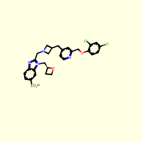 O=C(O)c1ccc2nc(CN3CC(Cc4ccnc(COc5ccc(Cl)cc5Cl)c4)C3)n(C[C@@H]3CCO3)c2c1